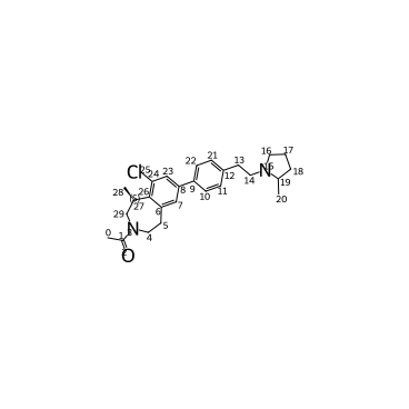 CC(=O)N1CCc2cc(-c3ccc(CCN4CCCC4C)cc3)cc(Cl)c2[C@H](C)C1